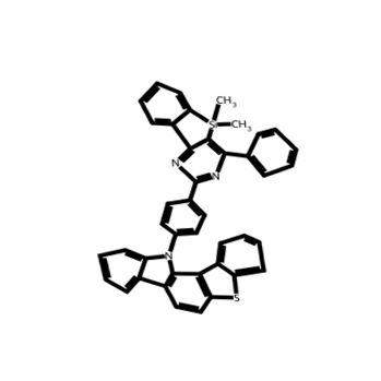 C[Si]1(C)c2ccccc2-c2nc(-c3ccc(-n4c5ccccc5c5ccc6sc7ccccc7c6c54)cc3)nc(-c3ccccc3)c21